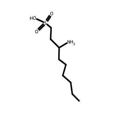 CCCCCCC(N)CCS(=O)(=O)O